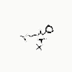 CC(C)(C)OC(=O)N[C@H](C(=O)NCCO[N+](=O)[O-])c1ccccc1